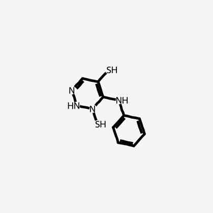 SC1=C(Nc2ccccc2)N(S)NN=C1